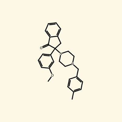 COc1cccc(C2(N3CCN(Cc4ccc(C)cc4)CC3)Cc3ccccc3C2=O)c1